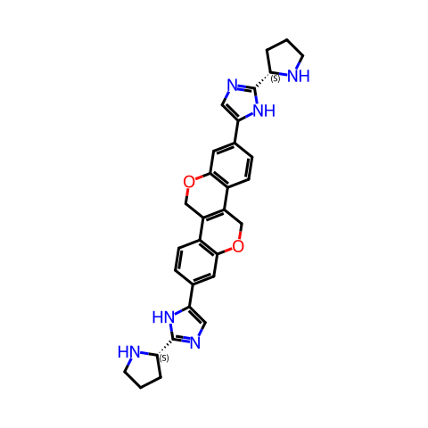 c1cc2c(cc1-c1cnc([C@@H]3CCCN3)[nH]1)OCC1=C2COc2cc(-c3cnc([C@@H]4CCCN4)[nH]3)ccc21